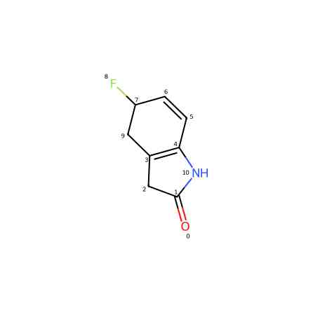 O=C1CC2=C(C=CC(F)C2)N1